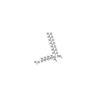 O.O.O.O.O.O.O.O.O.O.O.O.O.O